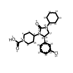 O=C(O)N1CCC(N2C(=O)N(C3CCCCC3)C[C@H]2c2cccc(Cl)c2)CC1